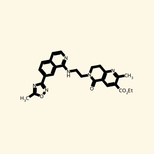 CCOC(=O)c1cc2c(nc1C)CCN(CCNc1nccc3ccc(-c4noc(C)n4)cc13)C2=O